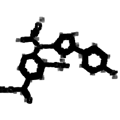 COC(=O)c1ccc(N(c2csc(-c3ccc(Br)cc3)n2)[SH](=O)=O)c(OC)c1